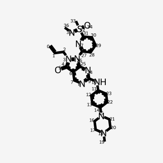 C=CCn1c(=O)c2cnc(Nc3ccc(N4CCN(C)CC4)cc3)nc2n1-c1cccc(S(C)(=O)=NC)n1